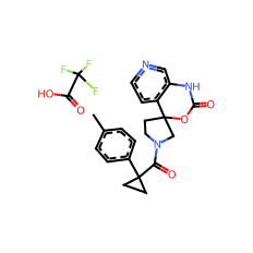 Cc1ccc(C2(C(=O)N3CCC4(C3)OC(=O)Nc3cnccc34)CC2)cc1.O=C(O)C(F)(F)F